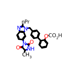 CCCc1nc2ccc(N3C(=O)NC(C)C3=O)cc2n1Cc1ccc(-c2ccccc2OC(=O)O)cc1